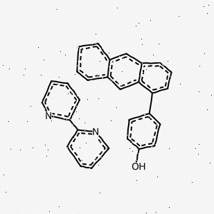 Oc1ccc(-c2cccc3cc4ccccc4cc23)cc1.c1ccc(-c2ccccn2)nc1